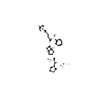 CC12COC(CCC(=C=C3C[C@H]4[C@H](O[Si](C)(C)C(C)(C)C)[C@@H](/C=C/[C@H](O[Si](C)(C)C(C)(C)C)C5CCCC5)C[C@H]34)[S+]([O-])c3ccccc3)(OC1)OC2